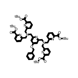 CC(C)(C)OC(=O)c1cccc(CN(Cc2cc(OCc3ccccc3)cc(CN(Cc3cccc(C(=O)OC(C)(C)C)n3)Cc3cccc(C(=O)OC(C)(C)C)n3)n2)Cc2cccc(C(=O)OC(C)(C)C)n2)n1